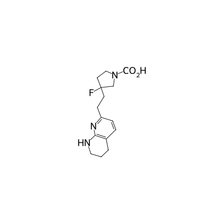 O=C(O)N1CCC(F)(CCc2ccc3c(n2)NCCC3)C1